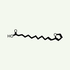 O=C(O)CCCCCCCCC/C=C/c1ccco1